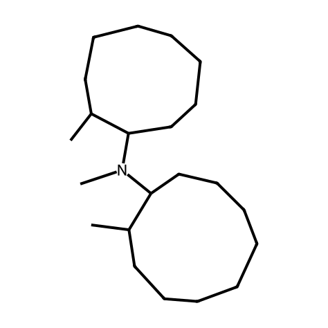 CC1CCCCCCCCC1N(C)C1CCCCCCCC1C